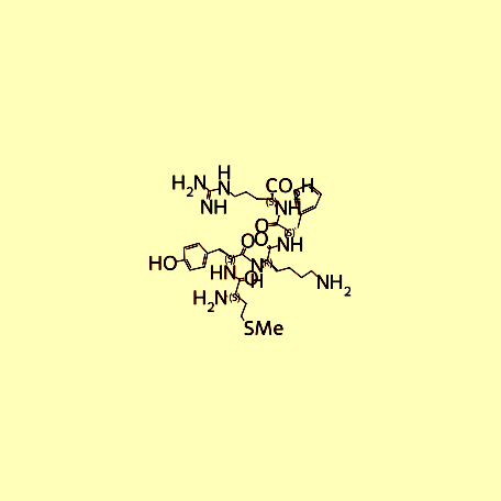 CSCC[C@H](N)C(=O)N[C@@H](Cc1ccc(O)cc1)C(=O)N[C@H](CCCCN)C(=O)N[C@@H](Cc1ccccc1)C(=O)N[C@@H](CCCNC(=N)N)C(=O)O